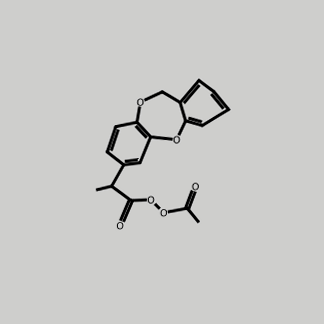 CC(=O)OOC(=O)C(C)c1ccc2c(c1)Oc1ccccc1CO2